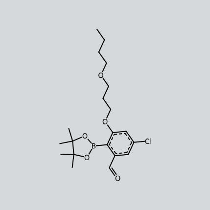 CCCCOCCCOc1cc(Cl)cc(C=O)c1B1OC(C)(C)C(C)(C)O1